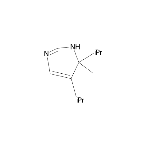 CC(C)C1=CN=CNC1(C)C(C)C